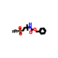 [CH2][CH]CS(=O)(=O)CCC(C)(C)NC(=O)OCc1ccccc1